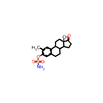 Cc1cc2c(cc1OS(N)(=O)=O)CCC1C2CC[C@]2(C)C(=O)CCC12